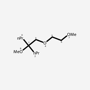 CCCC(CCC)(COCCOC)OC